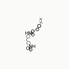 COC(=O)NC1CCC(CC2CCC(NC(=O)OCCOc3ccc(C(C)(C)CC(C)(C)C)cc3)CC2)CC1